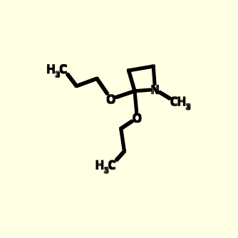 CCCOC1(OCCC)CCN1C